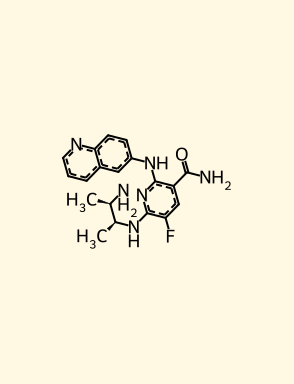 C[C@H](Nc1nc(Nc2ccc3ncccc3c2)c(C(N)=O)cc1F)[C@@H](C)N